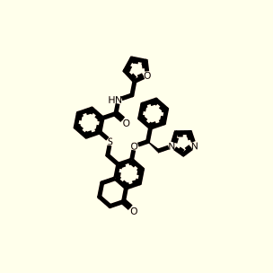 O=C(NCc1ccco1)c1ccccc1SCc1c(O[C@H](Cn2ccnc2)c2ccccc2)ccc2c1CCCC2=O